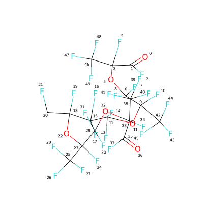 O=C(F)C(F)(OC(F)(F)C(F)(OC(F)(F)C(F)(F)C(F)(CF)OC(F)(C(F)(F)F)C(F)(F)OC(F)(C(=O)F)C(F)(F)F)C(F)(F)F)C(F)(F)F